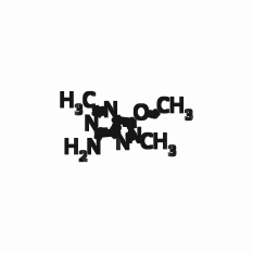 CCOc1c2nc(C)nc(N)c2nn1C